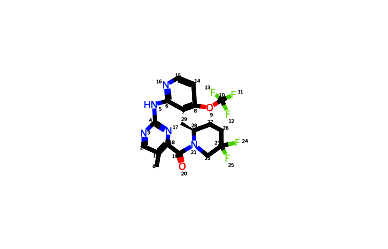 Cc1cnc(Nc2cc(OC(F)(F)F)ccn2)nc1C(=O)N1CC(F)(F)CC[C@@H]1C